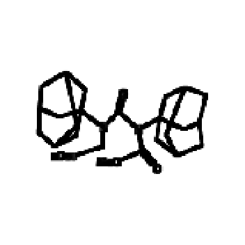 CCCCCCCCCCCN(C(=O)N(C(=O)OC)C12CC3CC(CC(C3)C1)C2)C12CC3CC(CC(C3)C1)C2